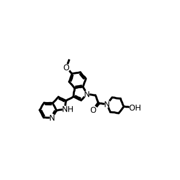 COc1ccc2c(c1)c(-c1cc3cccnc3[nH]1)cn2CC(=O)N1CCC(O)CC1